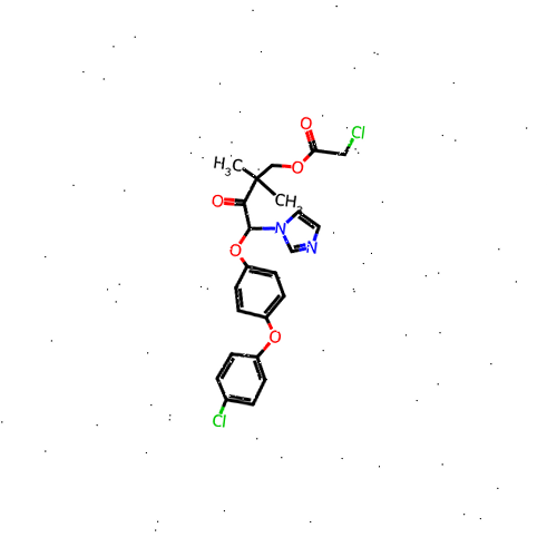 CC(C)(COC(=O)CCl)C(=O)C(Oc1ccc(Oc2ccc(Cl)cc2)cc1)n1ccnc1